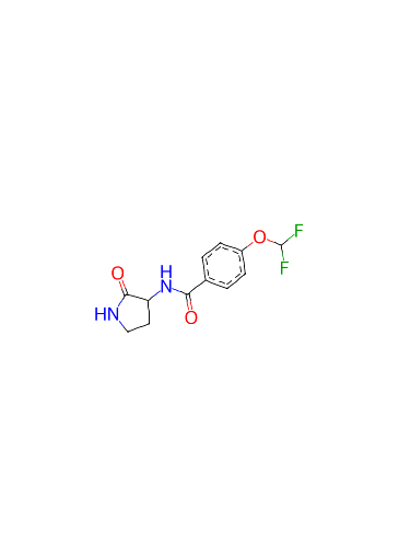 O=C(NC1CCNC1=O)c1ccc(OC(F)F)cc1